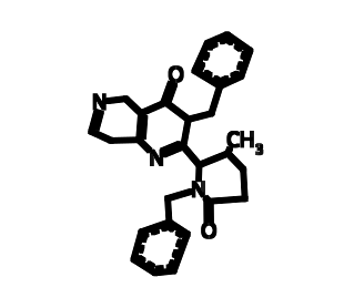 CC1CCC(=O)N(Cc2ccccc2)C1C1=NC2=C(CN=CC2)C(=O)C1Cc1ccccc1